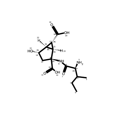 CCC(C)[C@H](N)C(=O)N[C@@]1(C(=O)O)C[C@H](O)[C@H]2[C@H](C(=O)O)[C@H]21